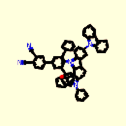 N#Cc1ccc(-c2cc(-c3ccccc3)c(-n3c4ccc(-n5c6ccccc6c6ccccc65)cc4c4ccc5c(c6ccccc6n5-c5ccccc5)c43)c(-c3ccccc3)c2)cc1C#N